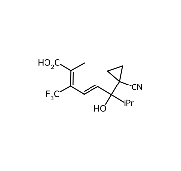 CC(C(=O)O)=C(C=CC(O)(C(C)C)C1(C#N)CC1)C(F)(F)F